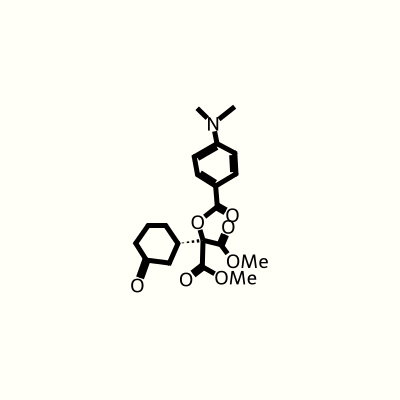 COC(=O)C(OC(=O)c1ccc(N(C)C)cc1)(C(=O)OC)[C@H]1CCCC(=O)C1